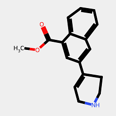 COC(=O)c1cc(C2=CCNCC2)cc2ccccc12